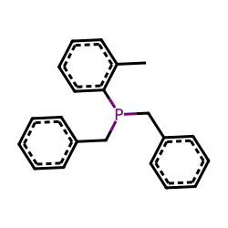 Cc1ccccc1P(Cc1ccccc1)Cc1ccccc1